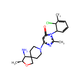 Cc1nc(N2CCC3(CC2)CO[C@@H](C)[C@H]3N)cc(=O)n1C1C=CC=C(C(F)(F)F)C1Cl